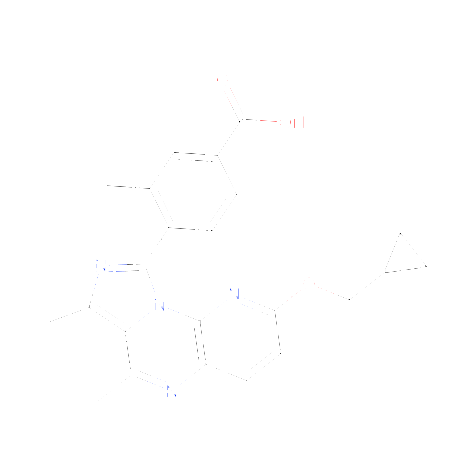 Cc1cc(C(=O)O)ccc1-c1nc(C)c2c(C)nc3ccc(OCC4CC4)nc3n12